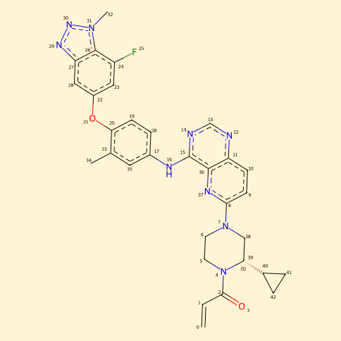 C=CC(=O)N1CCN(c2ccc3ncnc(Nc4ccc(Oc5cc(F)c6c(c5)nnn6C)c(C)c4)c3n2)C[C@@H]1C1CC1